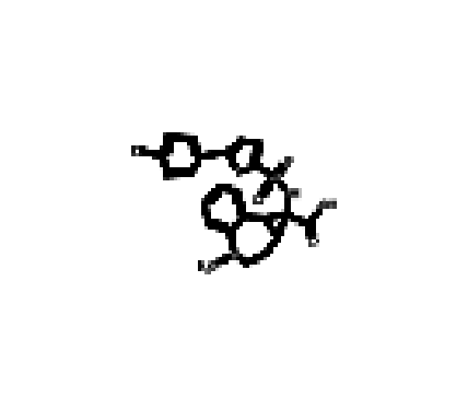 CN1CCC2C(c3ccccc31)C2(NS(=O)(=O)c1ccc(-c2ccc(Cl)cc2)s1)C(=O)O